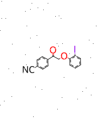 N#Cc1ccc(C(=O)COc2ccccc2I)cc1